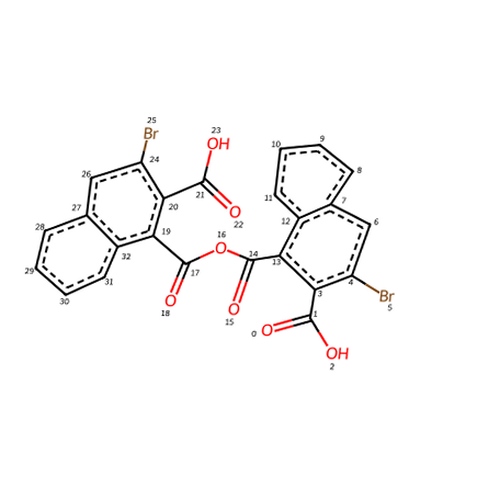 O=C(O)c1c(Br)cc2ccccc2c1C(=O)OC(=O)c1c(C(=O)O)c(Br)cc2ccccc12